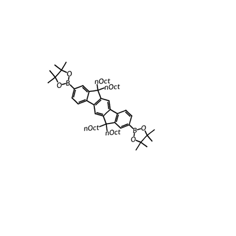 CCCCCCCCC1(CCCCCCCC)c2cc(B3OC(C)(C)C(C)(C)O3)ccc2-c2cc3c(cc21)-c1ccc(B2OC(C)(C)C(C)(C)O2)cc1C3(CCCCCCCC)CCCCCCCC